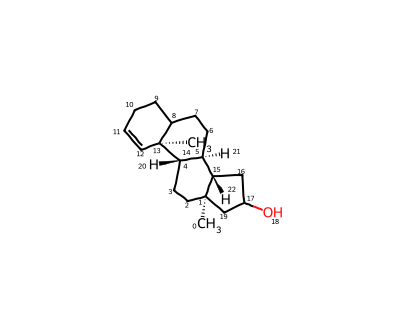 C[C@]12CC[C@H]3[C@@H](CCC4CCC=C[C@@]43C)[C@@H]1CC(O)C2